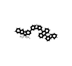 CC1(C)c2ccc(-c3ccc4oc5ccc(-c6c7ccccc7c(-c7cccc8c7sc7ccccc78)c7ccccc67)cc5c4c3)cc2-c2cc3ccccc3cc21